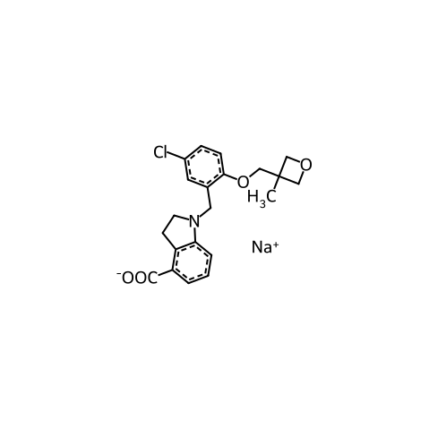 CC1(COc2ccc(Cl)cc2CN2CCc3c(C(=O)[O-])cccc32)COC1.[Na+]